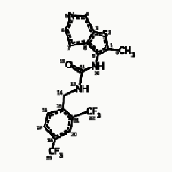 Cc1sc2cnccc2c1NC(=O)NCc1ccc(C(F)(F)F)cc1C(F)(F)F